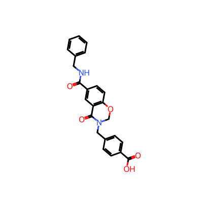 O=C(O)c1ccc(CN2COc3ccc(C(=O)NCc4ccccc4)cc3C2=O)cc1